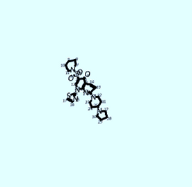 O=c1c(S(=O)(=O)N2CCCCC2)cn(-c2nccs2)c2nc(N3CCC(N4CCCC4)CC3)ccc12